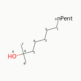 CCCCCCCCCCC(C)(C)O